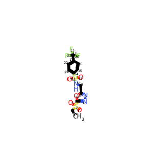 CCS(=O)(=O)c1nnc(CNS(=O)(=O)c2ccc(C(F)(F)F)cc2)o1